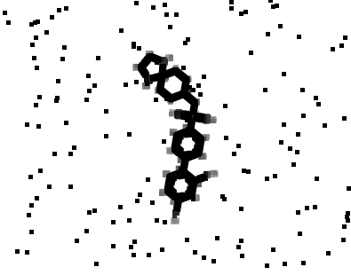 O=S(=O)(CC1CCC2(CC1)OCCO2)c1ccc(-c2ccc(F)cc2F)cc1